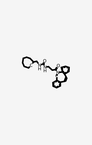 O=C(NCCC(=O)N1Cc2ccccc2C#Cc2ccccc21)NCC1CCCCCCC1